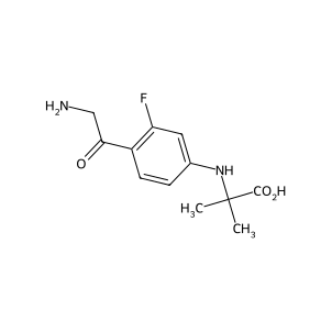 CC(C)(Nc1ccc(C(=O)CN)c(F)c1)C(=O)O